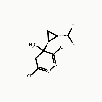 CC1([C@H]2C[C@@H]2C(F)F)CC(Cl)=NN=C1Cl